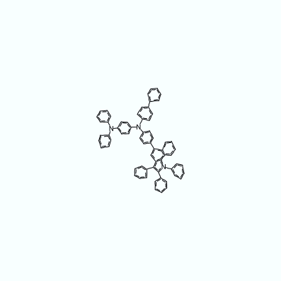 c1ccc(-c2ccc(N(c3ccc(-c4cc5c(-c6ccccc6)c(-c6ccccc6)n(-c6ccccc6)c5c5ccccc45)cc3)c3ccc(N(c4ccccc4)c4ccccc4)cc3)cc2)cc1